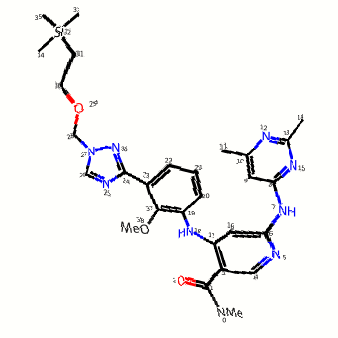 CNC(=O)c1cnc(Nc2cc(C)nc(C)n2)cc1Nc1cccc(-c2ncn(COCC[Si](C)(C)C)n2)c1OC